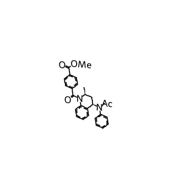 COC(=O)c1ccc(C(=O)N2c3ccccc3[C@H](N(C(C)=O)c3ccccc3)C[C@@H]2C)cc1